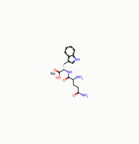 NC(=O)CC[C@H](N)C(=O)N[C@@H](Cc1c[nH]c2ccccc12)C(=O)O.[Na]